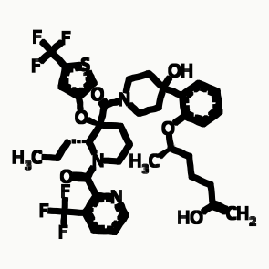 C=C(O)CCC[C@@H](C)Oc1ccccc1C1(O)CCN(C(=O)[C@]2(Oc3csc(C(F)(F)F)c3)CCCN(C(=O)c3ncccc3C(F)(F)F)[C@@H]2CCC)CC1